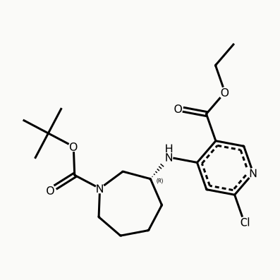 CCOC(=O)c1cnc(Cl)cc1N[C@@H]1CCCCN(C(=O)OC(C)(C)C)C1